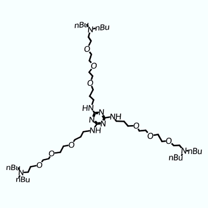 CCCCN(CCCC)CCOCCOCCOCCCNc1nc(NCCCOCCOCCOCCN(CCCC)CCCC)nc(NCCCOCCOCCOCCN(CCCC)CCCC)n1